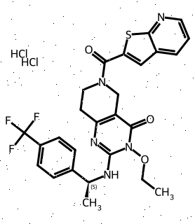 CCOn1c(N[C@@H](C)c2ccc(C(F)(F)F)cc2)nc2c(c1=O)CN(C(=O)c1cc3cccnc3s1)CC2.Cl.Cl